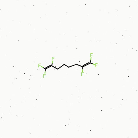 FC(F)=C(F)CCCCC(F)=C(F)F